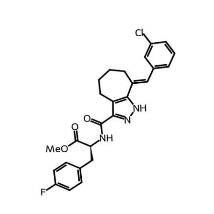 COC(=O)[C@H](Cc1ccc(F)cc1)NC(=O)c1n[nH]c2c1CCCCC2=Cc1cccc(Cl)c1